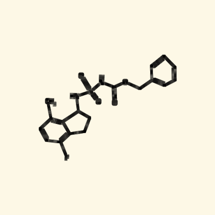 Cc1ccc(F)c2c1C(NS(=O)(=O)NC(=O)OCc1ccccc1)CC2